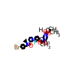 CC(C)(C)OC(=O)N1CCN(C(=O)C(C)(C)Oc2cccc(N3CCC[C@@H](C(=O)N(Cc4ccc(Br)cc4)C4CC4)C3)c2F)CC1